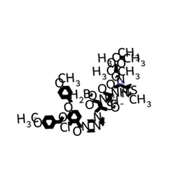 BOC(=O)C1=C(Cn2cc[n+]3c2CN(C(=O)c2ccc(OCc4ccc(OC)cc4)c(OCc4ccc(OC)cc4)c2Cl)CC3)C[S+]([O-])[C@@H]2[C@H](NC(=O)/C(=N\OC(C)(C)C(=O)OC(C)(C)C)c3csc(C)n3)C(=O)N12